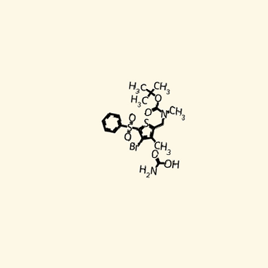 Cc1c(CN(C)C(=O)OC(C)(C)C)sc(S(=O)(=O)c2ccccc2)c1Br.NC(=O)O